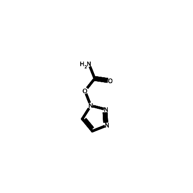 NC(=O)On1ccnn1